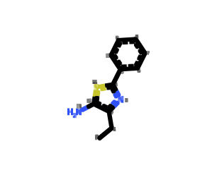 [CH2]Cc1nc(-c2ccccc2)sc1N